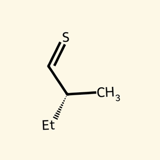 CC[C@@H](C)C=S